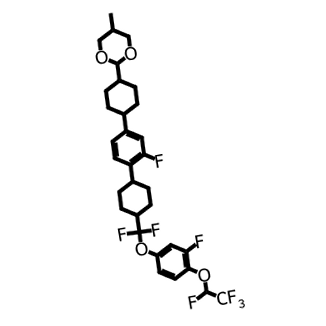 CC1COC(C2CCC(c3ccc(C4CCC(C(F)(F)Oc5ccc(OC(F)C(F)(F)F)c(F)c5)CC4)c(F)c3)CC2)OC1